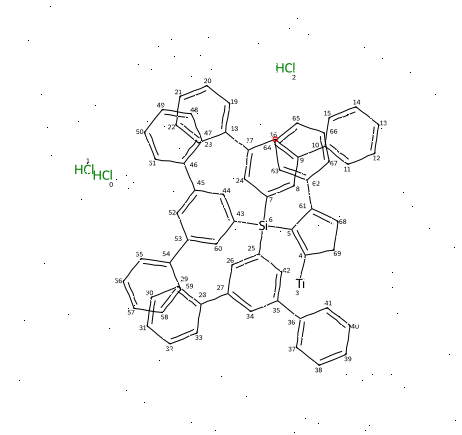 Cl.Cl.Cl.[Ti][C]1=C([Si](c2cc(-c3ccccc3)cc(-c3ccccc3)c2)(c2cc(-c3ccccc3)cc(-c3ccccc3)c2)c2cc(-c3ccccc3)cc(-c3ccccc3)c2)C(c2ccccc2)=CC1